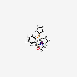 c1ccc(P(C2CCCC2)C2CCCC2)c(C2=NCCO2)c1